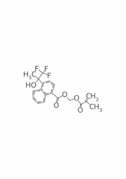 C=C(C)C(=O)OCOC(=O)c1ccc(C(C)(O)C(F)(F)F)c2ccccc12